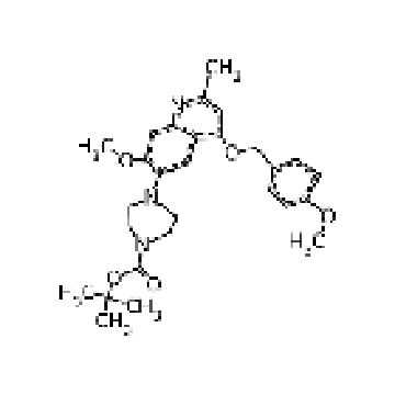 COc1ccc(COc2cc(C)nc3cc(OC)c(N4CCN(C(=O)OC(C)(C)C)CC4)cc23)cc1